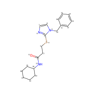 O=C(CCSc1nccn1Cc1ccccc1)NC1CCCCC1